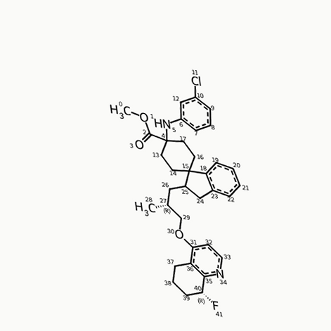 COC(=O)C1(Nc2cccc(Cl)c2)CCC2(CC1)c1ccccc1CC2C[C@@H](C)COc1ccnc2c1CCC[C@H]2F